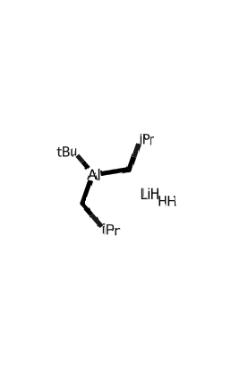 CC(C)[CH2][Al]([CH2]C(C)C)[C](C)(C)C.[HH].[LiH]